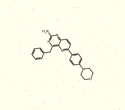 Nc1nc(Cc2ccccc2)c2nc(-c3ccc(N4CCOCC4)cc3)ccc2n1